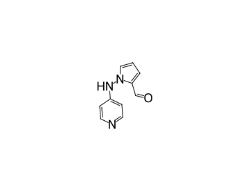 O=Cc1cccn1Nc1ccncc1